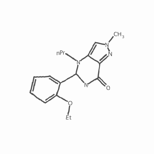 CCCN1c2cn(C)nc2C(=O)[N]C1c1ccccc1OCC